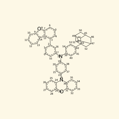 c1cc(-c2cccc3oc4ccccc4c23)cc(N(c2ccc(N3c4ccccc4Oc4ccccc43)cc2)c2ccc(C34CC5CC(CC(C5)C3)C4)cc2)c1